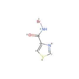 O=C(NBr)c1cscn1